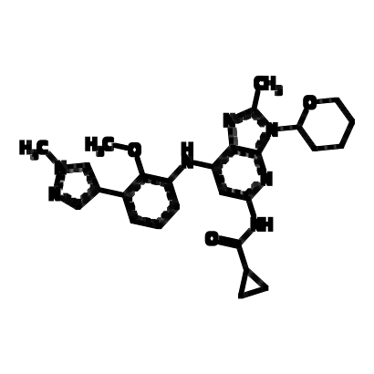 COc1c(Nc2cc(NC(=O)C3CC3)nc3c2nc(C)n3C2CCCCO2)cccc1-c1cnn(C)c1